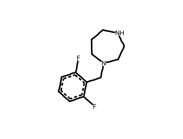 Fc1cccc(F)c1CN1CCCNCC1